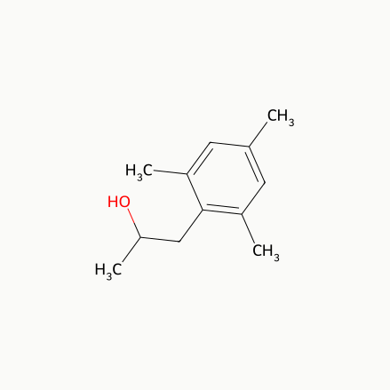 Cc1cc(C)c(CC(C)O)c(C)c1